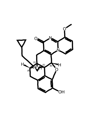 COc1cccn2c3c(c(=O)nc12)C[C@@]1(O)[C@H]2Cc4ccc(O)c5c4[C@@]1(CCN2CC1CC1)[C@H]3O5